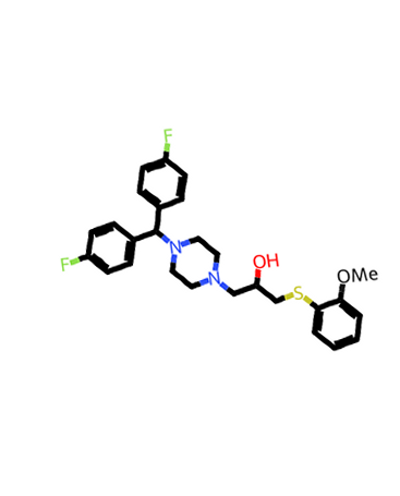 COc1ccccc1SCC(O)CN1CCN(C(c2ccc(F)cc2)c2ccc(F)cc2)CC1